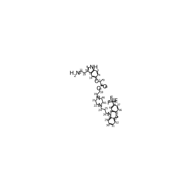 CC(Oc1ccc2[nH]cc(CCN)c2c1)C(=O)OCCN1CCN(CCCN2c3ccccc3Sc3ccc(C(F)(F)F)cc32)CC1